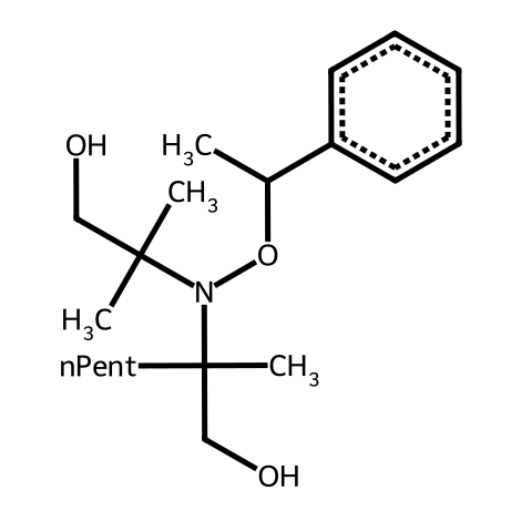 CCCCCC(C)(CO)N(OC(C)c1ccccc1)C(C)(C)CO